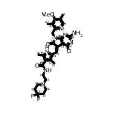 COc1c(C)cnc(CN2C(=O)C(=Cc3[nH]c(C)c(C(=O)NCCN4CCC(F)(F)CC4)c3C)c3c(Cl)nc(N)nc32)c1C